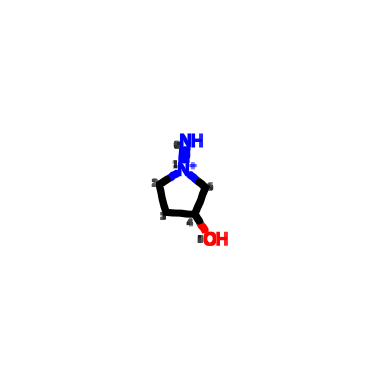 N=[N+]1CCC(O)C1